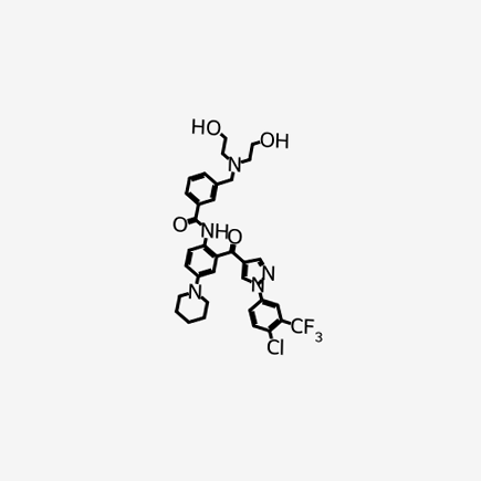 O=C(Nc1ccc(N2CCCCC2)cc1C(=O)c1cnn(-c2ccc(Cl)c(C(F)(F)F)c2)c1)c1cccc(CN(CCO)CCO)c1